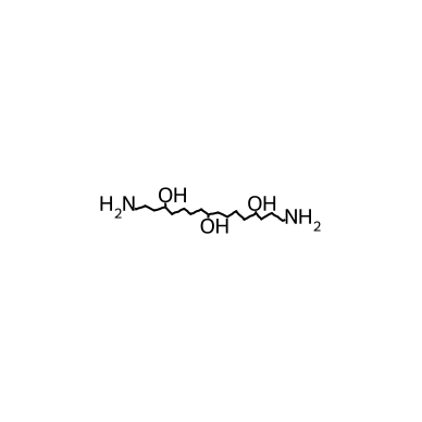 NCCCC(O)CCCCC(O)CCCCC(O)CCCN